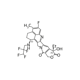 CC[C@@]1(O)C(=O)OCc2c1cc1n(c2=O)Cc2c-1nc1cc(F)c(C)c3c1c2[C@@H](NCC(F)(F)C(F)F)CC3